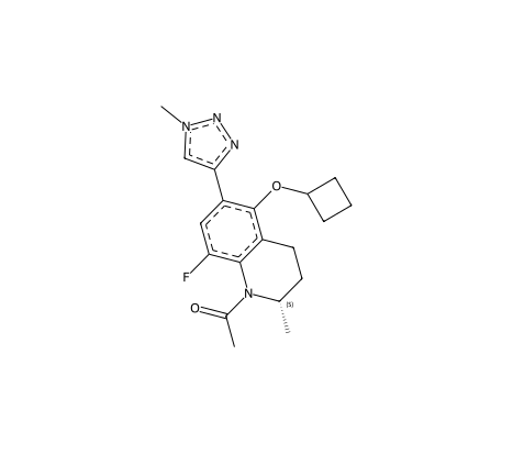 CC(=O)N1c2c(F)cc(-c3cn(C)nn3)c(OC3CCC3)c2CC[C@@H]1C